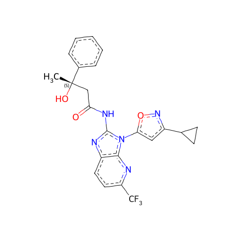 C[C@](O)(CC(=O)Nc1nc2ccc(C(F)(F)F)nc2n1-c1cc(C2CC2)no1)c1ccccc1